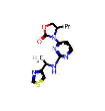 CC(Nc1nccc(N2C(=O)OCC2C(C)C)n1)c1cscn1